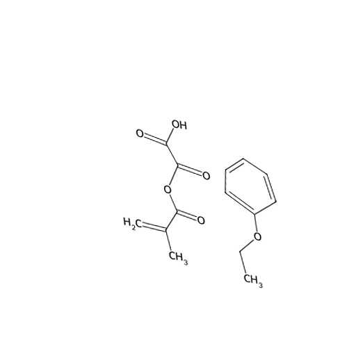 C=C(C)C(=O)OC(=O)C(=O)O.CCOc1ccccc1